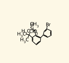 C[SiH](C)Oc1c(-c2cccc(Br)c2)cccc1C(C)(C)C